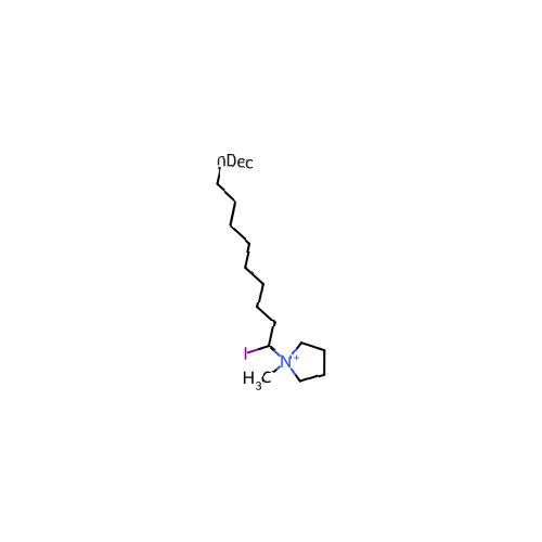 CCCCCCCCCCCCCCCCCCC(I)[N+]1(C)CCCC1